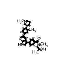 Cc1cc(-c2cnc3[nH]cc(-c4ccc(C(=O)N(C)C[C@@H](C)O)cc4)c3c2)ccc1[C@H]1CCCN(C)C1